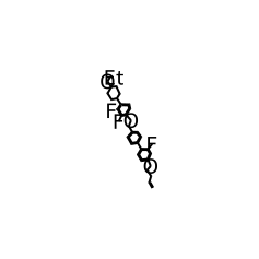 C=CCCOc1ccc(-c2ccc(COc3ccc(C4CCC(OCC)CC4)c(F)c3F)cc2)c(F)c1